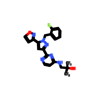 OC(CNc1ccnc(-c2cc(-c3ccon3)n(Cc3ccccc3F)n2)n1)(C(F)(F)F)C(F)(F)F